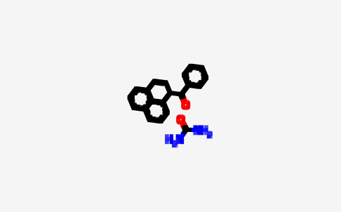 NC(N)=O.O=C(c1ccccc1)C1C=Cc2cccc3cccc1c23